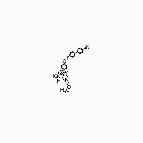 COCCN1CCC(C(=O)NO)(S(=O)(=O)c2ccc(OCCc3ccc(-c4ccc(C#N)cc4)cc3)cc2)CC1